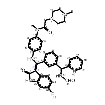 CN1CCN(CC(=O)N(C)c2ccc(N/C(=C3\C(=O)Nc4cc(F)ccc43)c3cccc(C(NC=O)c4ccccn4)c3)cc2)CC1